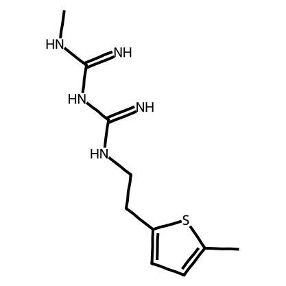 CNC(=N)NC(=N)NCCc1ccc(C)s1